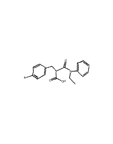 CCN(C(=O)C(Cc1ccc(Br)cc1)C(=O)O)c1ccccc1